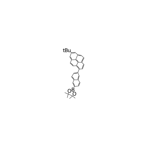 CC(C)(C)c1cc2ccc3ccc(-c4ccc5cc(B6OC(C)(C)C(C)(C)O6)ccc5c4)c4ccc(c1)c2c34